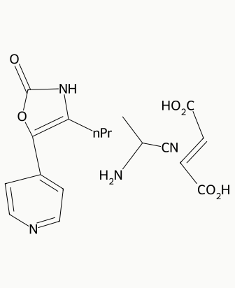 CC(N)C#N.CCCc1[nH]c(=O)oc1-c1ccncc1.O=C(O)C=CC(=O)O